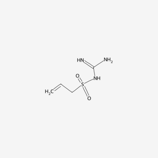 C=CCS(=O)(=O)NC(=N)N